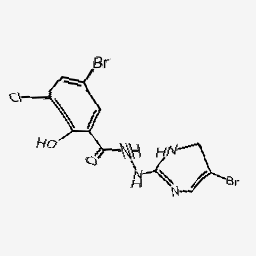 O=C(NNC1=NC=C(Br)CN1)c1cc(Br)cc(Cl)c1O